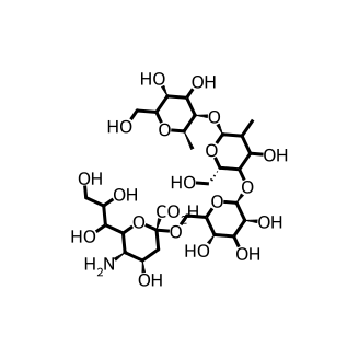 CC1C(O)C(O[C@@H]2OC(CO[C@]3(C(=O)O)C[C@@H](O)[C@@H](N)C(C(O)C(O)CO)O3)[C@H](O)C(O)[C@@H]2O)[C@H](CO)O[C@H]1O[C@@H]1C(O)[C@H](O)C(CO)O[C@@H]1C